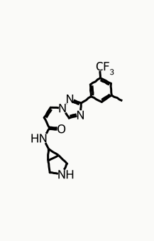 Cc1cc(-c2ncn(/C=C\C(=O)NC3C4CNCC43)n2)cc(C(F)(F)F)c1